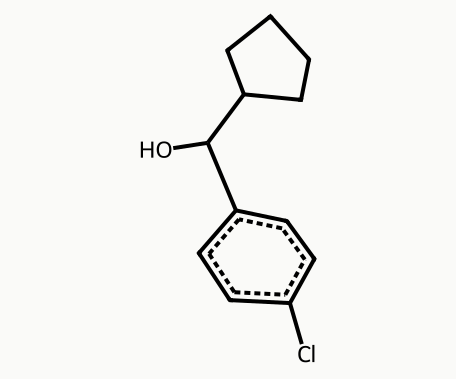 OC(c1ccc(Cl)cc1)C1CCCC1